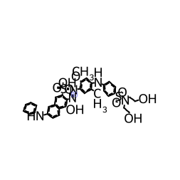 COc1cc(Nc2ccc(S(=O)(=O)N(CCO)CCO)cc2)c(C)cc1/N=N/c1c(S(=O)(=O)O)cc2cc(Nc3ccccc3)ccc2c1O